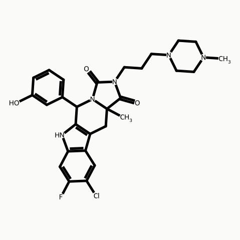 CN1CCN(CCCN2C(=O)N3C(c4cccc(O)c4)c4[nH]c5cc(F)c(Cl)cc5c4CC3(C)C2=O)CC1